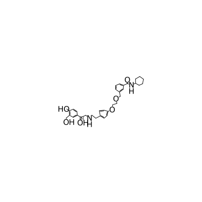 O=C(NC1CCCCC1)c1cccc(COCCOc2ccc(CCNC[C@@H](O)c3ccc(O)c(CO)c3)cc2)c1